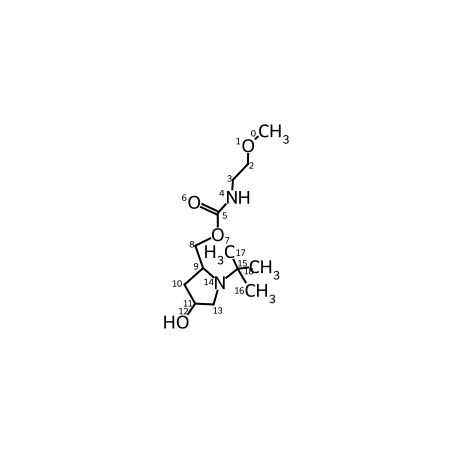 COCCNC(=O)OCC1CC(O)CN1C(C)(C)C